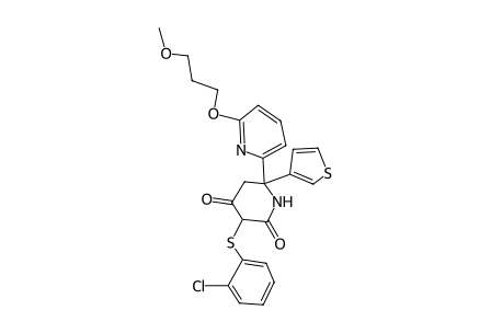 COCCCOc1cccc(C2(c3ccsc3)CC(=O)C(Sc3ccccc3Cl)C(=O)N2)n1